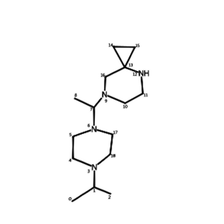 CC(C)N1CCN(C(C)N2CCNC3(CC3)C2)CC1